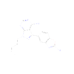 CCCCn1nc(-c2ccc3oc(N)nc3c2)c2c(N)ncnc21